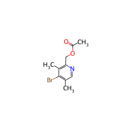 CC(=O)OCc1ncc(C)c(Br)c1C